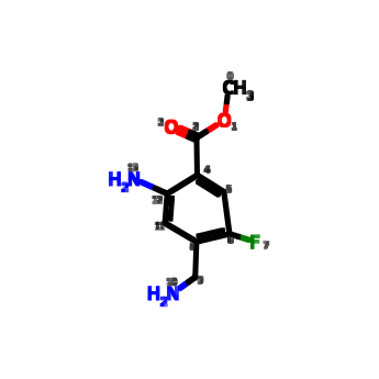 COC(=O)c1cc(F)c(CN)cc1N